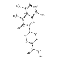 Cc1nnc(Cl)c2cc(C3CCN(C(=O)OC(C)(C)C)CC3)c(=O)n(C)c12